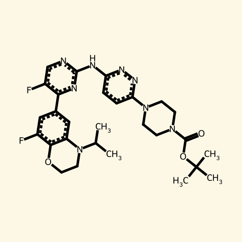 CC(C)N1CCOc2c(F)cc(-c3nc(Nc4ccc(N5CCN(C(=O)OC(C)(C)C)CC5)nn4)ncc3F)cc21